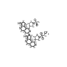 CS(=O)(=O)N1CCC(c2nccc3cnc4[nH]ccc4c23)C1.O=S(=O)(CC(F)(F)F)N1CCC(c2nccc3cnc4[nH]ccc4c23)C1